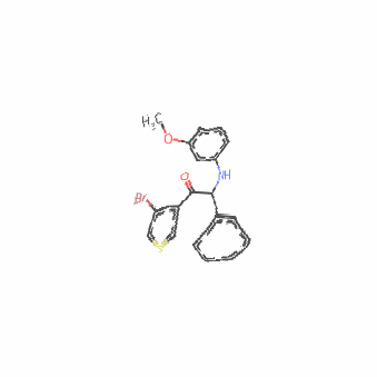 COc1cccc(NC(C(=O)c2cscc2Br)c2ccccc2)c1